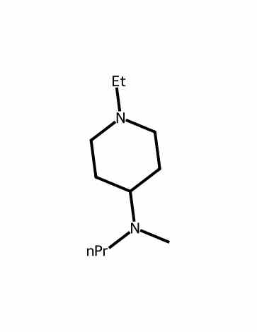 CCCN(C)C1CCN(CC)CC1